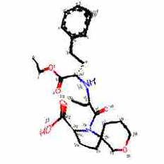 CCOC(=O)[C@H](CCc1ccccc1)NC(C)C(=O)N1[C@H](C(=O)O)CCC12CCCOC2